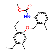 CCc1cc(CC)c(OCc2c(C)cccc2NC(=O)OC)cc1C